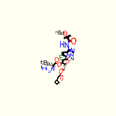 CCCCOC(C)(C)C(=O)Nc1ncnn2c([C@]3(C#N)O[C@H](COC(=O)CC4CCC4)[C@@H](OC(=O)[C@@H](N)C(C)(C)C)[C@@]3(C)F)ccc12